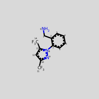 NCc1ccccc1-n1nc(C(F)(F)F)cc1C(F)(F)F